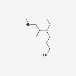 CCC(CCCN)C(C)CNC